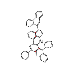 c1ccc(-c2ccc(N(c3ccc(-c4cc5ccccc5c5ccccc45)cc3)c3ccccc3-c3cccc4ccccc34)c(-c3ccccc3)c2)cc1